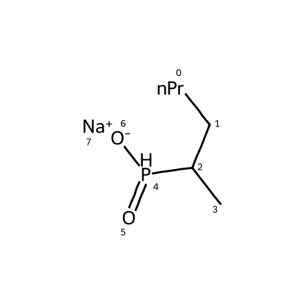 CCCCC(C)[PH](=O)[O-].[Na+]